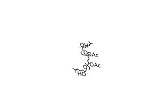 CC(=O)O[C@@H](CC[C@@H](OC(C)=O)[C@]1(C)CC[C@H]([C@@](C)(O)CCC=C(C)C)O1)[C@@]1(C)CC[C@H]([C@@](C)(O)CCC=C(C)C)O1